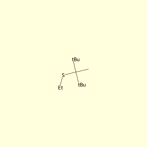 CCSC(C)(C(C)(C)C)C(C)(C)C